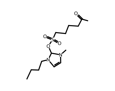 CCCCN1C=CN(C)C1OS(=O)(=O)CCCCC(C)=O